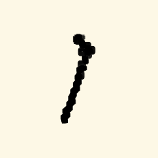 CCCCCCCCCCCCCCOCCOCCOP(=O)([O-])OCC[N+](C)(C)C